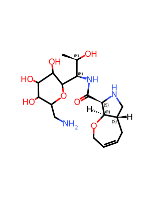 C[C@@H](O)[C@@H](NC(=O)[C@H]1NC[C@@H]2CC=CCO[C@H]21)C1OC(CN)C(O)C(O)C1O